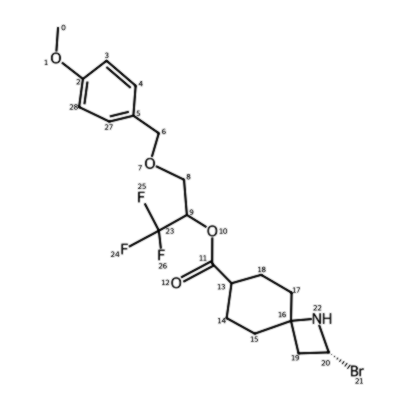 COc1ccc(COCC(OC(=O)C2CCC3(CC2)C[C@@H](Br)N3)C(F)(F)F)cc1